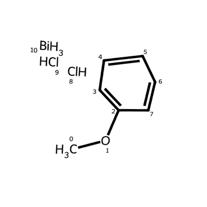 COc1ccccc1.Cl.Cl.[BiH3]